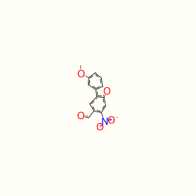 COc1ccc2oc3cc([N+](=O)[O-])c(C=O)cc3c2c1